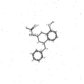 COc1cccc2c1CC(NC(C)=O)CC2Cc1ccccc1